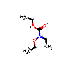 CCOC(=O)N(CC)OCC